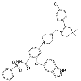 CC1(C)CCC(CN2CCN(c3ccc(C(=O)NS(=O)(=O)c4ccccc4)c(Oc4ccc5[nH]ccc5c4)c3)CC2)=C(c2ccc(Cl)cc2)C1